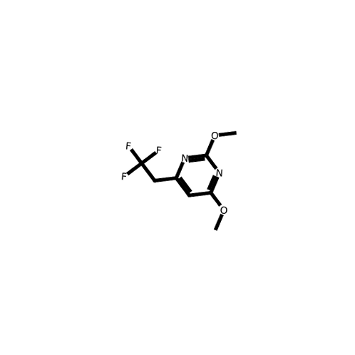 COc1cc(CC(F)(F)F)nc(OC)n1